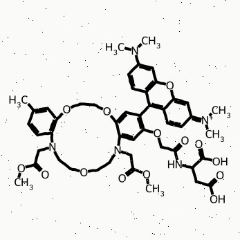 COC(=O)CN1CCOCCN(CC(=O)OC)c2cc(OCC(=O)NC(CC(=O)O)C(=O)O)c(-c3c4ccc(=[N+](C)C)cc-4oc4cc(N(C)C)ccc34)cc2OCCOc2cc(C)ccc21